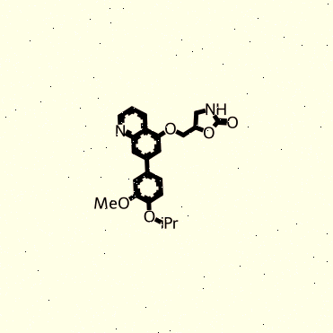 COc1cc(-c2cc(OCC3CNC(=O)O3)c3cccnc3c2)ccc1OC(C)C